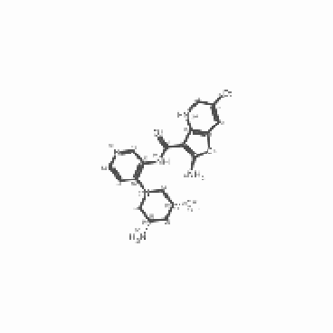 CCC1=Cc2oc(N)c(C(=O)Nc3cnccc3N3C[C@@H](N)C[C@@H](C(F)(F)F)C3)c2NC1